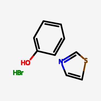 Br.Oc1ccccc1.c1cscn1